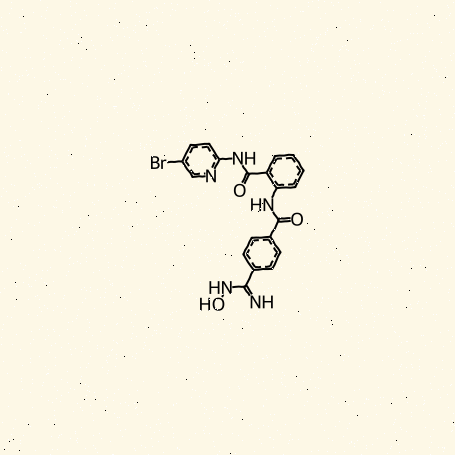 N=C(NO)c1ccc(C(=O)Nc2ccccc2C(=O)Nc2ccc(Br)cn2)cc1